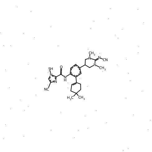 CN1CC(c2ccc(NC(=O)c3nc(C#N)cn3S)c(C3=CCC(C)(C)CC3)c2)CN(C)C1=NC#N